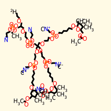 [2H]CCCOCC(COCCCOP(=O)(OCCC#N)OCC(COCCCOP(OCCCCCCO[C@@H]1OC(COC(C)=O)[C@H](C)[C@H](C)C1C)OCC[N+]#[C-])(COCCCOP(OCCCCCCO[C@@H]1OC(COC(C)=O)[C@H](C)[C@H](C)C1C)OCC[N+]#[C-])COCCCOP(OCCCCCCO[C@@H]1CC(COC(C)=O)[C@H](C)[C@H](C)C1NC(C)=O)OCC[N+]#[C-])COP(=O)(OCC)OCCC#N